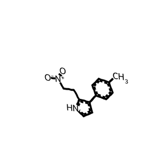 Cc1ccc(-c2cc[nH]c2CC[N+](=O)[O-])cc1